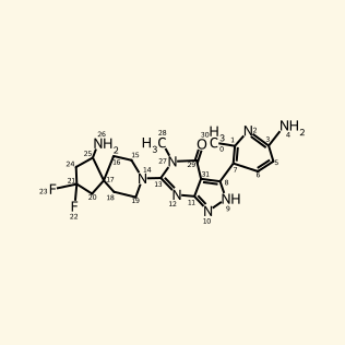 Cc1nc(N)ccc1-c1[nH]nc2nc(N3CCC4(CC3)CC(F)(F)CC4N)n(C)c(=O)c12